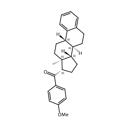 COc1ccc(C(=O)[C@H]2CC[C@H]3[C@@H]4CCc5ccccc5[C@H]4CC[C@]23C)cc1